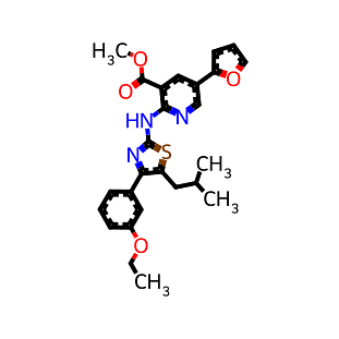 CCOc1cccc(-c2nc(Nc3ncc(-c4ccco4)cc3C(=O)OC)sc2CC(C)C)c1